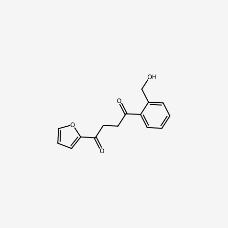 O=C(CCC(=O)c1ccccc1CO)c1ccco1